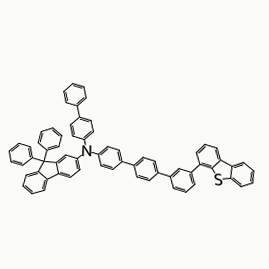 c1ccc(-c2ccc(N(c3ccc(-c4ccc(-c5cccc(-c6cccc7c6sc6ccccc67)c5)cc4)cc3)c3ccc4c(c3)C(c3ccccc3)(c3ccccc3)c3ccccc3-4)cc2)cc1